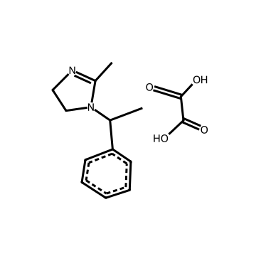 CC1=NCCN1C(C)c1ccccc1.O=C(O)C(=O)O